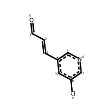 O=[C]C=Cc1cncc(Cl)c1